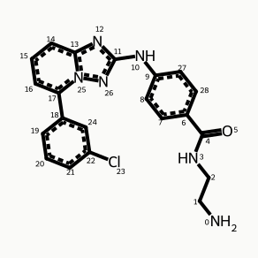 NCCNC(=O)c1ccc(Nc2nc3cccc(-c4cccc(Cl)c4)n3n2)cc1